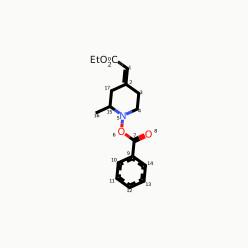 CCOC(=O)/C=C1/CCN(OC(=O)c2ccccc2)C(C)C1